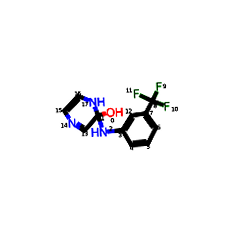 OC1(Nc2cccc(C(F)(F)F)c2)C=NC=CN1